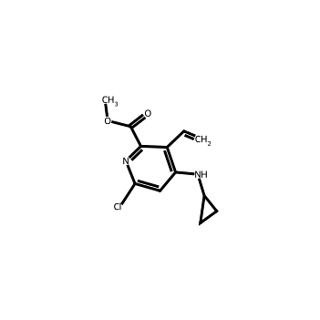 C=Cc1c(NC2CC2)cc(Cl)nc1C(=O)OC